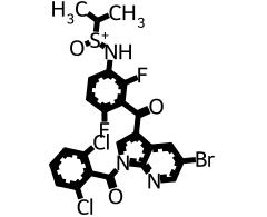 CC(C)[S+]([O-])Nc1ccc(F)c(C(=O)c2cn(C(=O)c3c(Cl)cccc3Cl)c3ncc(Br)cc23)c1F